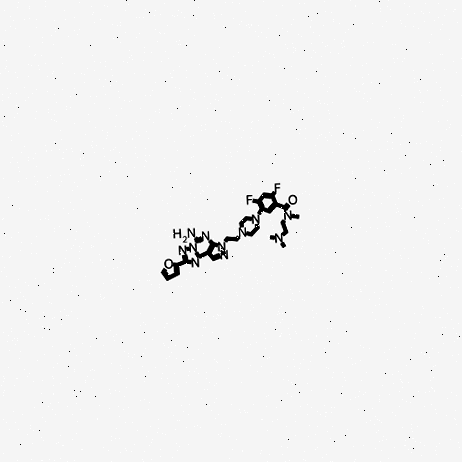 CN(C)CCN(C)C(=O)c1cc(N2CCN(CCn3ncc4c3nc(N)n3nc(-c5ccco5)nc43)CC2)c(F)cc1F